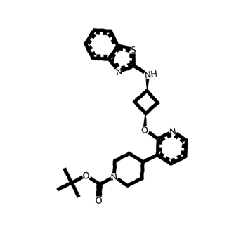 CC(C)(C)OC(=O)N1CCC(c2cccnc2O[C@H]2C[C@@H](Nc3nc4ccccc4s3)C2)CC1